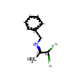 CC(=NCc1ccccc1)C(F)F